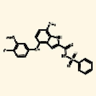 COc1cc(Nc2ccc([N+](=O)[O-])c3[nH]c(C(=O)NS(=O)(=O)c4ccccc4)cc23)ccc1Cl